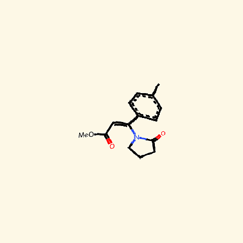 COC(=O)/C=C(/c1ccc(C)cc1)N1CCCC1=O